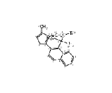 CC1=CCC(c2ccc3ccccc3c2C(C)(C)[O][Ti])=C1C